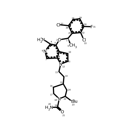 C[C@@H](Oc1c(N)ncc2c1ccn2CCC1CCN(C(N)=O)C(C(C)(C)C)C1)c1c(Cl)ccc(F)c1Cl